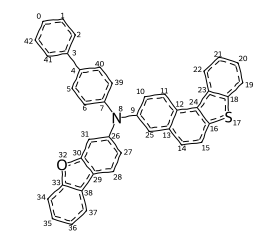 c1ccc(-c2ccc(N(c3ccc4c(ccc5sc6ccccc6c54)c3)c3ccc4c(c3)oc3ccccc34)cc2)cc1